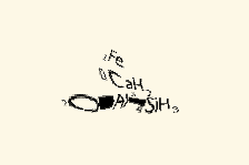 [CaH2].[Fe].[O]=[Al][SiH3]